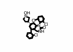 O=C1NCc2c(-c3ccccc3Cl)cc([C@@H]3CCN(O)C3)cc2N1c1c(Cl)cccc1Cl